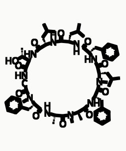 CC(C)C[C@@H]1NC(=O)[C@H](Cc2ccccc2)NC(=O)[C@H](CC(C)C)N(C)C(=O)[C@H](Cc2ccccc2)NC(=O)[C@@H](C)N(C)C(=O)[C@H](C)NC(=O)[C@H](Cc2ccccc2)N(C)C(=O)CNC(=O)[C@H]([C@@H](C)O)NC(=O)[C@H](CC(C)C)NC1=O